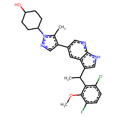 COc1c(F)ccc(Cl)c1C(C)c1c[nH]c2ncc(-c3cnn(C4CCC(O)CC4)c3C)cc12